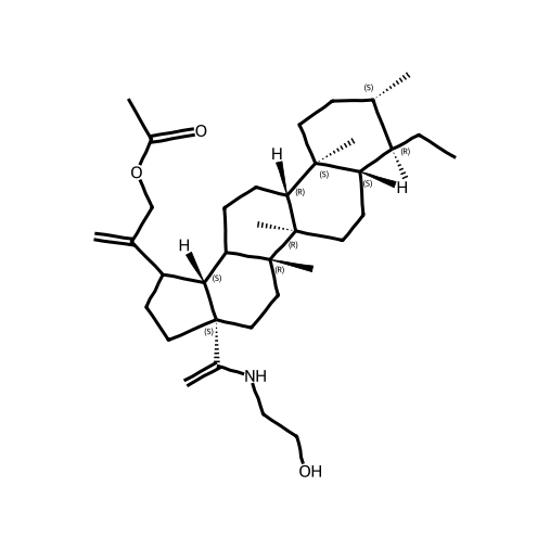 C=C(COC(C)=O)C1CC[C@]2(C(=C)NCCO)CC[C@]3(C)C(CC[C@@H]4[C@@]5(C)CC[C@H](C)[C@@](C)(CC)[C@@H]5CC[C@]43C)[C@@H]12